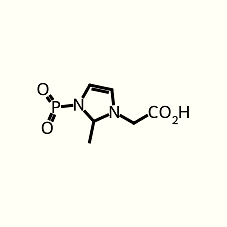 CC1N(CC(=O)O)C=CN1P(=O)=O